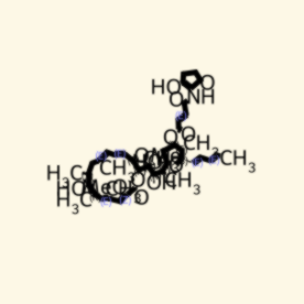 C/C=C/C=C/[C@@H]1O[C@@](O)([C@@H](C)[C@H](O)[C@H](C)[C@H]2OC(=O)/C(OC)=C/C(C)=C/[C@@H](C)[C@@H](O)[C@@H](C)C/C(C)=C/C=C/[C@@H]2OC)C[C@@H](OC(=O)/C=C/C(=O)NC2=C(O)CCC2=O)[C@@H]1C